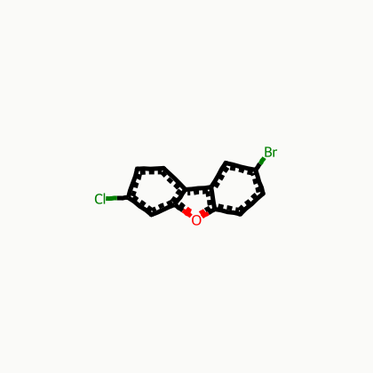 Clc1ccc2c(c1)oc1ccc(Br)cc12